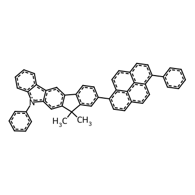 CC1(C)c2cc(-c3ccc4ccc5c(-c6ccccc6)ccc6ccc3c4c65)ccc2-c2cc3c4ccccc4n(-c4ccccc4)c3cc21